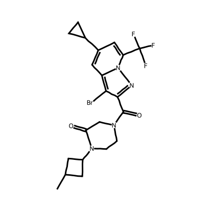 CC1CC(N2CCN(C(=O)c3nn4c(C(F)(F)F)cc(C5CC5)cc4c3Br)CC2=O)C1